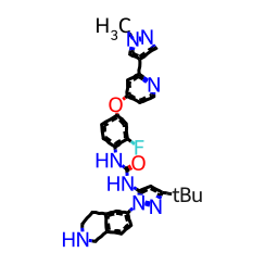 Cn1cc(-c2cc(Oc3ccc(NC(=O)Nc4cc(C(C)(C)C)nn4-c4ccc5c(c4)CCNC5)c(F)c3)ccn2)cn1